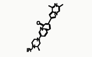 Cc1cn2cc(C3=C\C(=O)N4C=C(N5CCN(C(C)C)[C@H](C)C5)C=C\C4=C/C=C/3)cc2c(C)n1